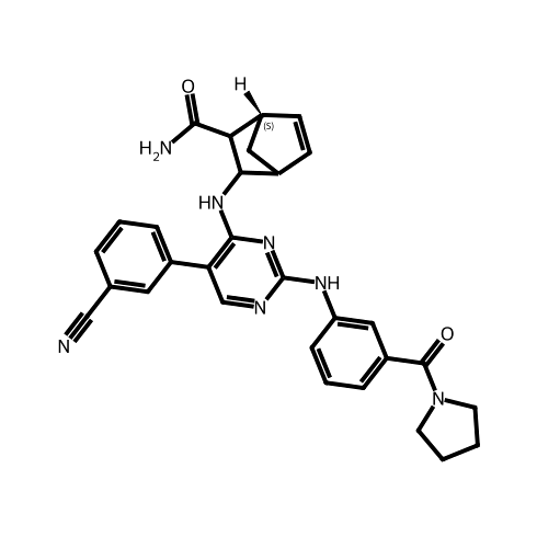 N#Cc1cccc(-c2cnc(Nc3cccc(C(=O)N4CCCC4)c3)nc2NC2C3C=C[C@H](C3)C2C(N)=O)c1